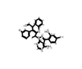 CC(C1=C(c2cccc(F)c2)C(C=O)c2ccccc2O1)n1nc(-c2ccc(F)cc2O)c2c(N)ncnc21